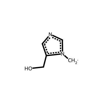 [CH2]n1cncc1CO